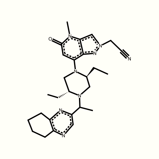 CC[C@H]1CN(C(C)c2cnc3c(n2)CCCC3)[C@H](CC)CN1c1cc(=O)n(C)c2cn(CC#N)nc12